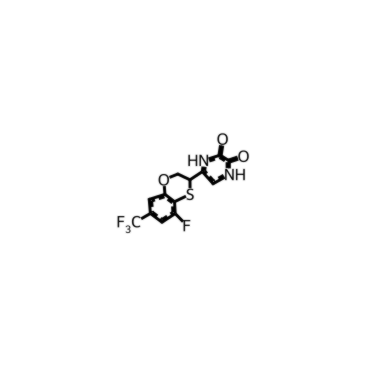 O=c1[nH]cc(C2COc3cc(C(F)(F)F)cc(F)c3S2)[nH]c1=O